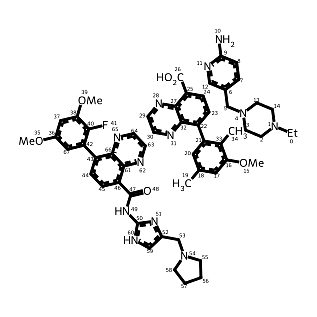 CCN1CCN(Cc2ccc(N)nc2)CC1.COc1cc(C)cc(-c2ccc(C(=O)O)c3nccnc23)c1C.COc1cc(OC)c(F)c(-c2ccc(C(=O)Nc3nc(CN4CCCC4)c[nH]3)c3nccnc23)c1